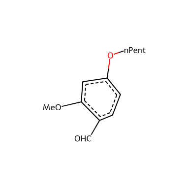 CCCCCOc1ccc(C=O)c(OC)c1